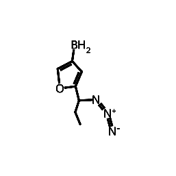 Bc1coc(C(CC)N=[N+]=[N-])c1